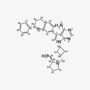 Nc1ncnc2c1c(-c1ccc3c(c1)O[C@H](c1ccccc1)CC3)cn2[C@H]1C[C@@H](CN2CCC[C@H]2CO)C1